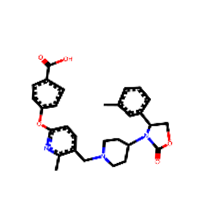 Cc1cccc(C2COC(=O)N2C2CCN(Cc3ccc(Oc4ccc(C(=O)O)cc4)nc3C)CC2)c1